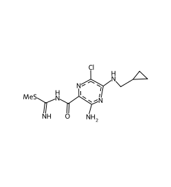 CSC(=N)NC(=O)c1nc(Cl)c(NCC2CC2)nc1N